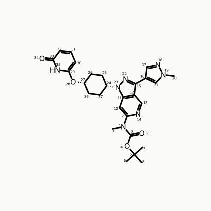 CN(C(=O)OC(C)(C)C)c1cc2c(cn1)c(-c1cnn(C)c1)nn2[C@H]1CC[C@@H](Oc2cccc(=O)[nH]2)CC1